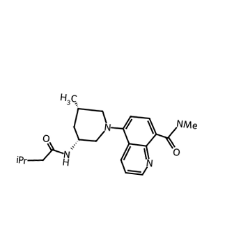 CNC(=O)c1ccc(N2C[C@@H](C)C[C@@H](NC(=O)CC(C)C)C2)c2cccnc12